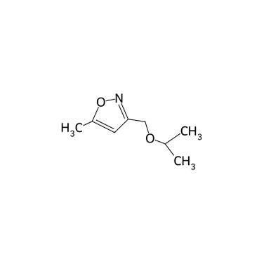 Cc1cc(COC(C)C)no1